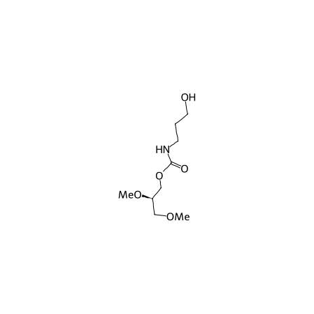 COC[C@H](COC(=O)NCCCO)OC